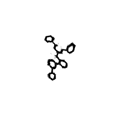 c1ccc(-c2cc(-c3nc4ccc5c6ccccc6sc5c4c4ccccc34)cc(-c3ccccc3)n2)cc1